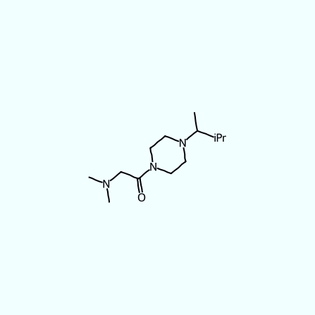 CC(C)C(C)N1CCN(C(=O)CN(C)C)CC1